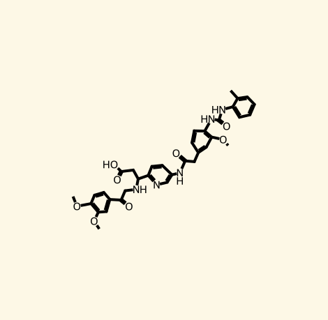 COc1cc(CC(=O)Nc2ccc(C(CC(=O)O)NCC(=O)c3ccc(OC)c(OC)c3)nc2)ccc1NC(=O)Nc1ccccc1C